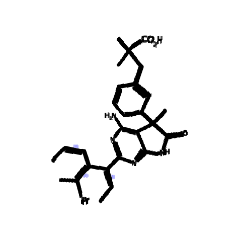 C\C=C/C(=C(\C)C(C)C)C(=C\C)/c1nc(N)c2c(n1)NC(=O)C2(C)c1cccc(CC(C)(C)C(=O)O)c1